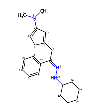 CN(C)C1=CCC(CC(=NNC2CCCCC2)c2ccccc2)=C1